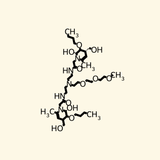 CCCCOC1C(CO)C=C(C)N(CC(=O)NCCN(CCNC(=O)CN2C(C)=C[C@@H](CO)C(OCCCC)[C@H]2O)CCOCCOCCOC)[C@@H]1O